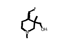 CN1CC/C(=C/F)C(C)(CO)C1